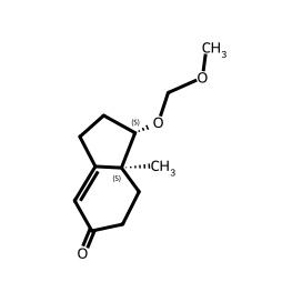 COCO[C@H]1CCC2=CC(=O)CC[C@@]21C